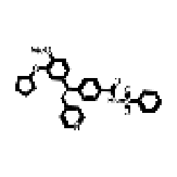 COc1ccc([C@H](Cc2ccncc2)c2ccc(C(=O)NS(=O)(=O)c3ccccc3)cc2)cc1OC1CCCC1